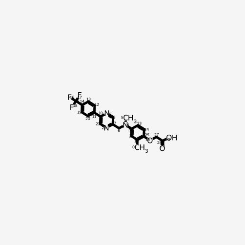 Cc1cc(N(C)Cc2cnc(-c3ccc(C(F)(F)F)cc3)cn2)ccc1OCC(=O)O